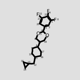 Fc1cc(C2OCC(C3CCC(CC4CC4)CC3)CO2)cc(F)c1F